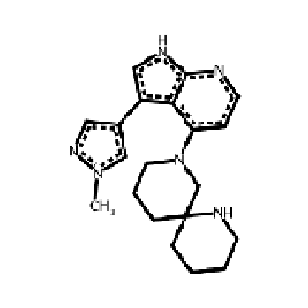 Cn1cc(-c2c[nH]c3nccc(N4CCCC5(CCCCN5)C4)c23)cn1